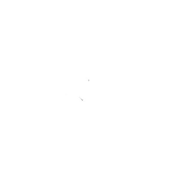 Cc1cc(OCc2ccccc2)c2c(c1)O[C@H](c1cc(OCc3ccccc3)c(OCc3ccccc3)c(OCc3ccccc3)c1)[C@@H](O)C2